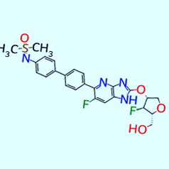 CS(C)(=O)=Nc1ccc(-c2ccc(-c3nc4nc(O[C@@H]5CO[C@H](CO)[C@H]5F)[nH]c4cc3F)cc2)cc1